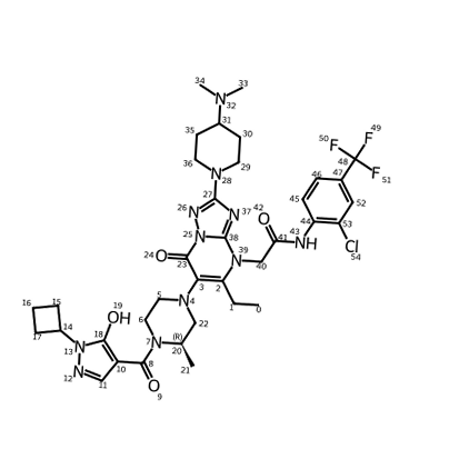 CCc1c(N2CCN(C(=O)c3cnn(C4CCC4)c3O)[C@H](C)C2)c(=O)n2nc(N3CCC(N(C)C)CC3)nc2n1CC(=O)Nc1ccc(C(F)(F)F)cc1Cl